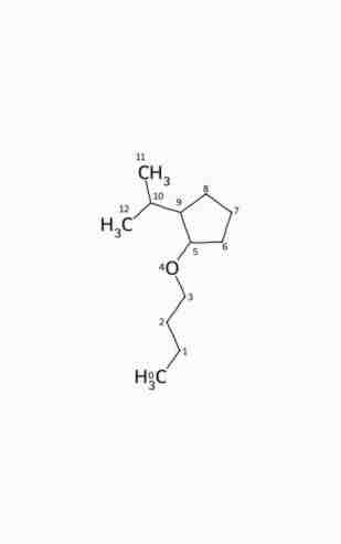 CCCCOC1CCCC1C(C)C